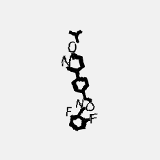 CC(C)COc1ccc(-c2ccc(C3COC(c4c(F)cccc4F)=N3)cc2)cn1